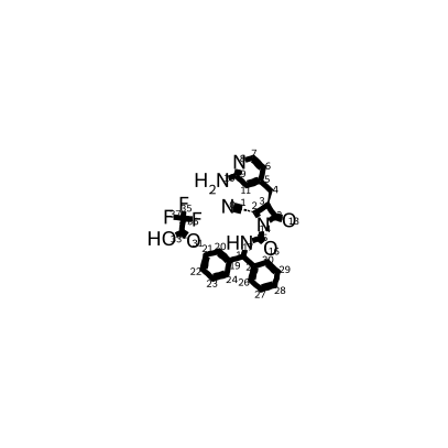 N#C[C@@H]1[C@@H](Cc2ccnc(N)c2)C(=O)N1C(=O)NC(c1ccccc1)c1ccccc1.O=C(O)C(F)(F)F